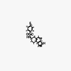 O=S(=O)(NC1CCc2c(cnc3[nH]ncc23)C1)c1ccc(F)cc1